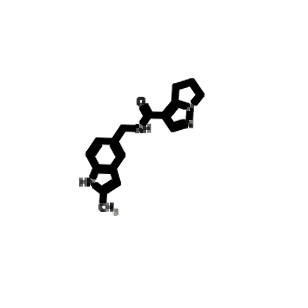 Cc1cc2cc(CNC(=O)c3cnn4c3CCC4)ccc2[nH]1